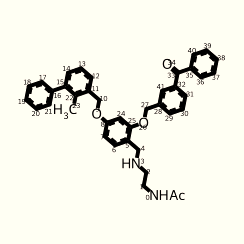 CC(=O)NCCNCc1ccc(OCc2cccc(-c3ccccc3)c2C)cc1OCc1cccc(C(=O)c2ccccc2)c1